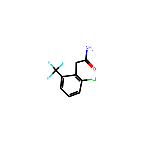 NC(=O)Cc1c(Cl)cccc1C(F)(F)F